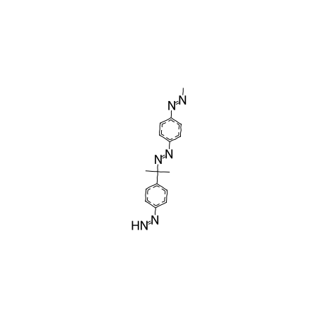 CN=Nc1ccc(N=NC(C)(C)c2ccc(N=N)cc2)cc1